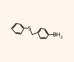 Bc1ccc(CSc2ccccc2)cc1